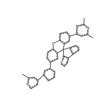 Cc1cc(-c2cccc(-c3ccc4c(c3)C3(c5cc(-c6cc(C)nc(C)n6)ccc5O4)c4ccccc4-c4ccccc43)c2)ccn1